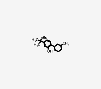 CCCCC(C)(C)c1ccc(C2CCCC(C)C2)c(O)c1